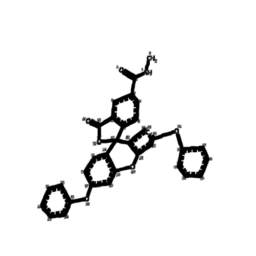 CNC(=O)c1ccc2c(c1)C(=O)OC21c2ccc(Oc3ccccc3)cc2Oc2cc(Oc3ccccc3)ccc21